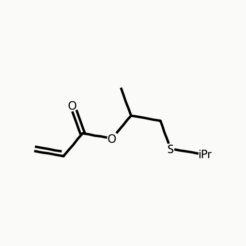 C=CC(=O)OC(C)CSC(C)C